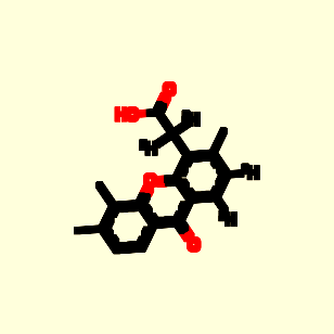 [2H]c1c(C)c(C([2H])([2H])C(=O)O)c2oc3c(C)c(C)ccc3c(=O)c2c1[2H]